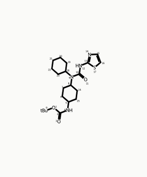 CC(C)(C)OC(=O)NC1CCC(N(C(=O)Nc2nccs2)C2CCCCC2)CC1